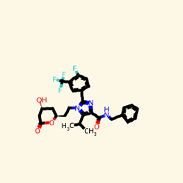 CC(C)c1c(C(=O)NCc2ccccc2)nc(-c2ccc(F)c(C(F)(F)F)c2)n1CC[C@@H]1C[C@@H](O)CC(=O)O1